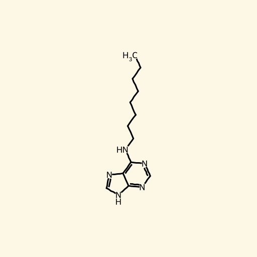 CCCCCCCCNc1ncnc2[nH]cnc12